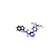 CC(C)N1CCN(c2cc(NC(=O)NC3CCc4ccccc43)ncn2)CC1